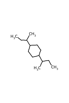 CCC(C)C1CCC(C(C)CC)CC1